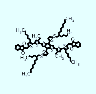 CCCCCCCCC(CCCC)CSc1ccc(-c2c3cc(-c4sc(-c5sc(C=C6C(=O)c7ccccc7C6=O)cc5CCCCCC)cc4CC)sc3c(-c3ccc(SCC(CCCC)CCCCCCCC)s3)c3cc(-c4sc(-c5sc(C=C6C(=O)c7ccccc7C6=O)cc5CCCCCC)cc4CC)sc23)s1